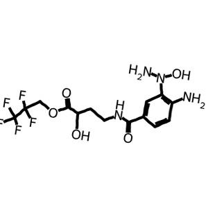 Nc1ccc(C(=O)NCCC(O)C(=O)OCC(F)(F)C(F)(F)F)cc1N(N)O